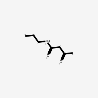 CCCNC(=O)CC(C)=O